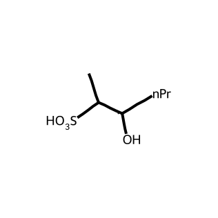 CCC[C](O)C(C)S(=O)(=O)O